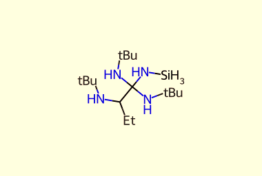 CCC(NC(C)(C)C)C(N[SiH3])(NC(C)(C)C)NC(C)(C)C